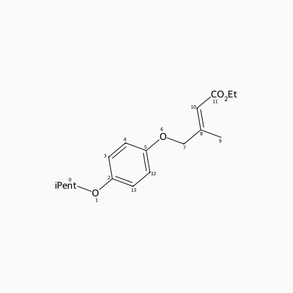 CCCC(C)Oc1ccc(OCC(C)=CC(=O)OCC)cc1